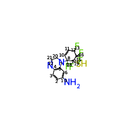 Nc1ccc2c(c1)N(C1(F)C=CC(F)C(F)(F)C1(F)S)CC=N2